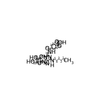 CCCCCCNc1nc(CNC(=O)c2ccc(S(=O)(=O)O)cc2)nc2c1ncn2[C@@H]1O[C@H](CO)[C@@H](O)[C@H]1O